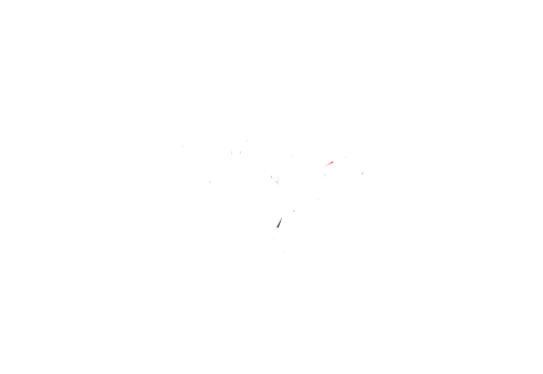 COC(=O)[C@@H]1C[C@H](OC)CN1C(=O)OC(C)(C)C